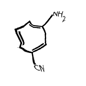 N#Cc1[c]ccc(N)c1